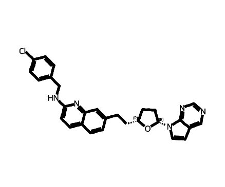 Clc1ccc(CNc2ccc3ccc(CC[C@@H]4CC[C@H](n5ccc6cncnc65)O4)cc3n2)cc1